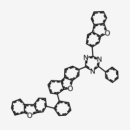 c1ccc(-c2nc(-c3ccc4c(c3)oc3ccccc34)nc(-c3ccc4c(c3)oc3c(-c5ccccc5-c5ccc6c(c5)oc5ccccc56)cccc34)n2)cc1